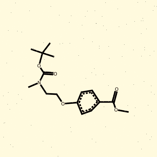 COC(=O)c1ccc(OCCN(C)C(=O)OC(C)(C)C)cc1